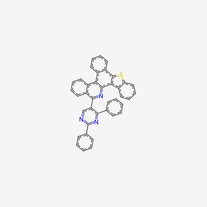 c1ccc(-c2ncc(-c3nc4c(c5ccccc35)c3ccccc3c3sc5ccccc5c43)c(-c3ccccc3)n2)cc1